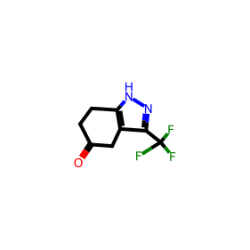 O=C1CCc2[nH]nc(C(F)(F)F)c2C1